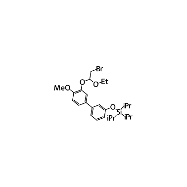 CCOC(CBr)Oc1cc(-c2cccc(O[Si](C(C)C)(C(C)C)C(C)C)c2)ccc1OC